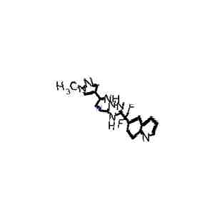 Cn1cc(C(=N)/C=C\c2nnc(C(F)(F)c3ccc4ncccc4c3)[nH]2)cn1